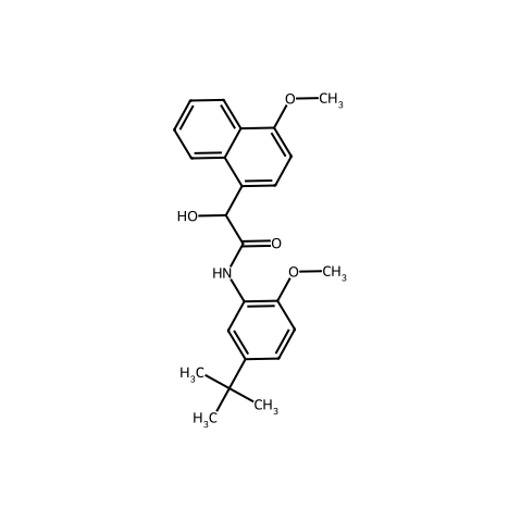 COc1ccc(C(C)(C)C)cc1NC(=O)C(O)c1ccc(OC)c2ccccc12